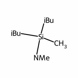 CCC(C)[Si](C)(NC)C(C)CC